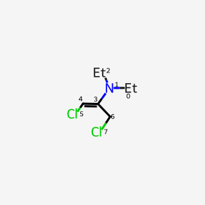 CCN(CC)C(=CCl)CCl